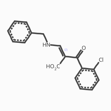 O=C(O)/C(=C\NCc1ccccc1)C(=O)c1ccccc1Cl